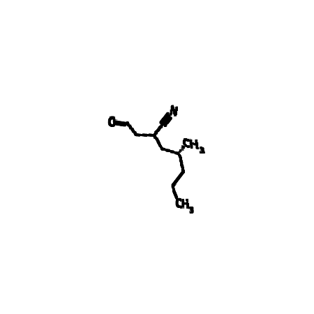 CCC[C@@H](C)CC(C#N)CC=O